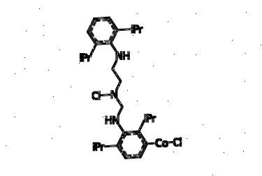 CC(C)c1cccc(C(C)C)c1NCCN(Cl)CNc1c(C(C)C)cc[c]([Co][Cl])c1C(C)C